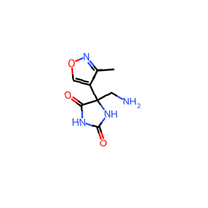 Cc1nocc1C1(CN)NC(=O)NC1=O